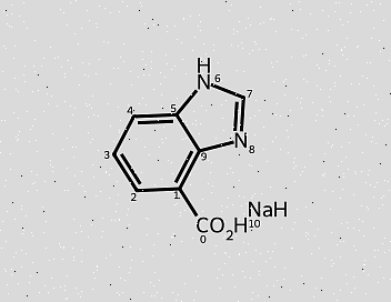 O=C(O)c1cccc2[nH]cnc12.[NaH]